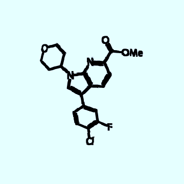 COC(=O)c1ccc2c(-c3ccc(Cl)c(F)c3)cn(C3CCOCC3)c2n1